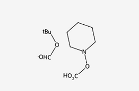 CC(C)(C)O[C]=O.O=C(O)ON1CCCCC1